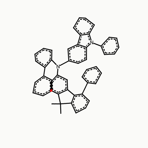 CC1(C)c2ccc(N(c3ccc4c(c3)c3ccccc3n4-c3ccccc3)c3ccccc3-c3ccccc3)cc2-c2c(-c3ccccc3)cccc21